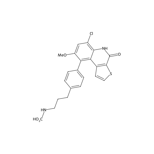 COc1cc(Cl)c2[nH]c(=O)c3sccc3c2c1-c1ccc(CCCNC(=O)O)cc1